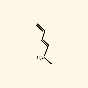 C=CC=C[SiH2]C